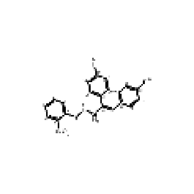 O=[N+]([O-])c1ccccc1CO[SiH2]C(=Cc1ccc(F)cc1)c1ccc(F)cc1